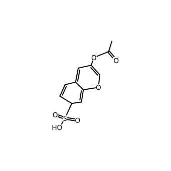 CC(=O)OC1=COC2=CC(S(=O)(=O)O)C=CC2=C1